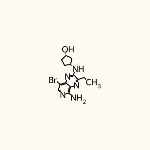 CCc1nc2c(N)ncc(Br)c2nc1N[C@@H]1CC[C@H](O)C1